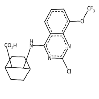 O=C(O)C1C2CCC(CC2)C1Nc1nc(Cl)nc2c(OC(F)(F)F)cccc12